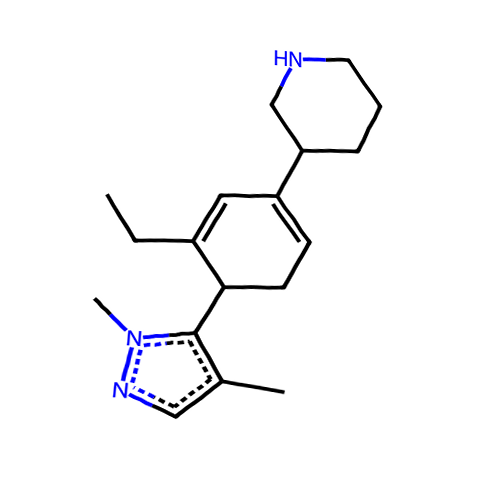 CCC1=CC(C2CCCNC2)=CCC1c1c(C)cnn1C